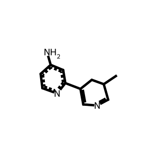 CC1C=NC=C(c2cc(N)ccn2)C1